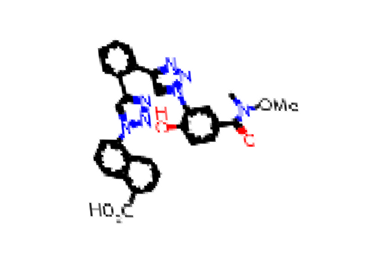 CON(C)C(=O)c1ccc(O)c(-n2cc(-c3ccccc3-c3cn(-c4cccc5c(C(=O)O)cccc45)nn3)nn2)c1